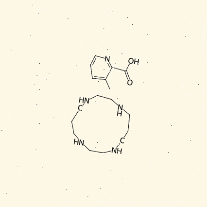 C1CNCCNCCCNCCNC1.Cc1cccnc1C(=O)O